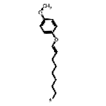 COc1ccc(OC=CCCCCCCBr)cc1